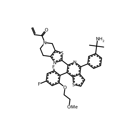 C=CC(=O)N1CCc2nc(-c3nc(-c4cccc(C(C)(C)N)c4)c4ccsc4c3-c3c(F)cc(F)cc3OCCOC)sc2C1